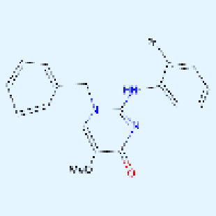 COc1cn(Cc2ccccc2)c(Nc2ccccc2C(C)C)nc1=O